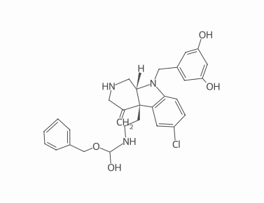 C=C1CNC[C@@H]2N(Cc3cc(O)cc(O)c3)c3ccc(Cl)cc3[C@]12CCNC(O)OCc1ccccc1